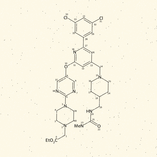 CCOC(=O)CN1CCN(c2ncc(Oc3cc(CN4CCC(CNC(=O)NC)CC4)cc(-c4cc(Cl)cc(Cl)c4)n3)cn2)CC1